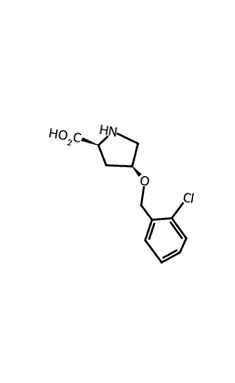 O=C(O)[C@@H]1C[C@H](OCc2ccccc2Cl)CN1